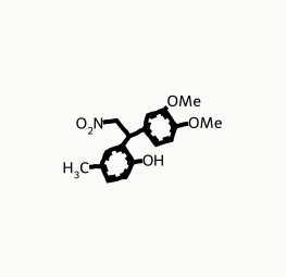 COc1ccc(C(C[N+](=O)[O-])c2cc(C)ccc2O)cc1OC